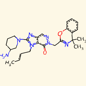 C/C=C/Cn1c(N2CCCC(N)C2)nc2cnn(CC3=NC(C)(C)c4ccccc4O3)c(=O)c21